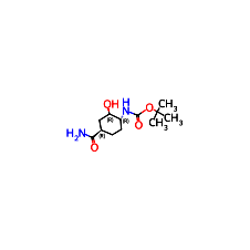 CC(C)(C)OC(=O)N[C@@H]1CC[C@@H](C(N)=O)C[C@H]1O